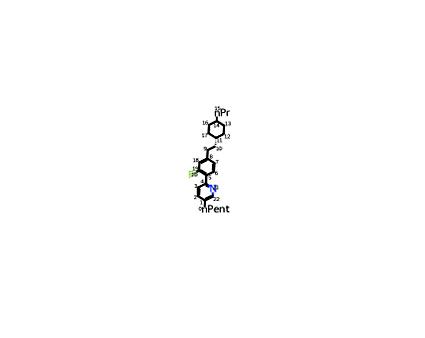 CCCCCc1ccc(-c2ccc(CC[C@H]3CC[C@H](CCC)CC3)cc2F)nc1